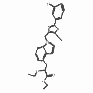 CCOC(=O)C(Cc1cccc2c1ccn2Cc1nc(-c2cccc(Cl)c2)oc1C)OCC